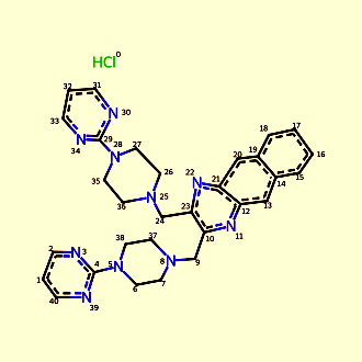 Cl.c1cnc(N2CCN(Cc3nc4cc5ccccc5cc4nc3CN3CCN(c4ncccn4)CC3)CC2)nc1